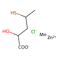 CC(S)CC(O)C(=O)[O-].[Cl-].[Mn].[Zn+2]